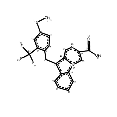 CSc1ccc(Cc2c3ccccc3n3cc(C(=O)O)ncc23)c(C(F)(F)F)c1